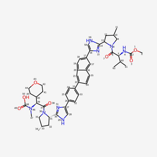 COC(=O)N[C@H](C(=O)N1CC(C)CC1c1nc(-c2ccc3cc(-c4ccc(-c5c[nH]c([C@@H]6C[C@H](C)CN6C(=O)[C@H](C6CCOCC6)N(C)C(=O)O)n5)cc4)ccc3c2)c[nH]1)C(C)C